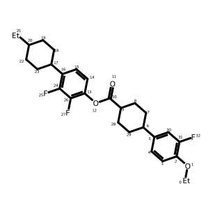 CCOc1ccc(C2CCC(C(=O)Oc3ccc(C4CCC(CC)CC4)c(F)c3F)CC2)cc1F